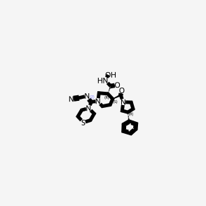 N#C/N=C(\N1CCSCC1)N1CC[C@H](C(=O)N2CC[C@H](c3ccccc3)C2)[C@@H](C(=O)NO)C1